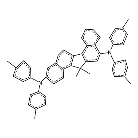 Cc1ccc(N(c2ccc(C)cc2)c2ccc3c4c(ccc3c2)-c2c(cc(N(c3ccc(C)cc3)c3ccc(C)cc3)c3ccccc23)C4(C)C)cc1